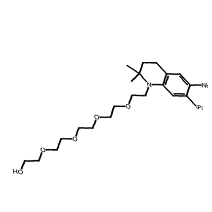 CC(C)c1cc2c(cc1N)CCC(C)(C)N2CCOCCOCCOCCOCCO